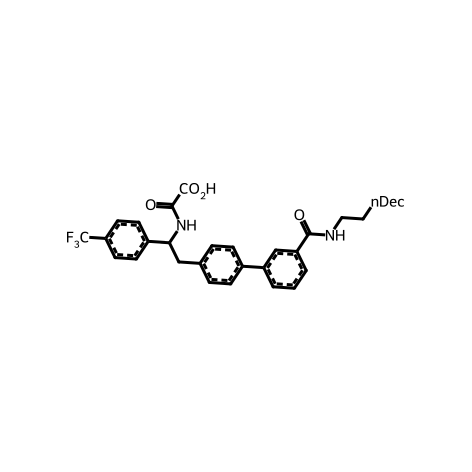 CCCCCCCCCCCCNC(=O)c1cccc(-c2ccc(CC(NC(=O)C(=O)O)c3ccc(C(F)(F)F)cc3)cc2)c1